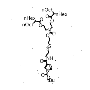 CCCCCCCCC(CCCCCC)C(=O)OCCN(CCOC(=O)C(CCCCCC)CCCCCCCC)C(=O)OCCSSCCNC(=O)c1cn(C(=O)OC(C)(C)C)cn1